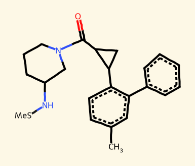 CSNC1CCCN(C(=O)C2CC2c2ccc(C)cc2-c2ccccc2)C1